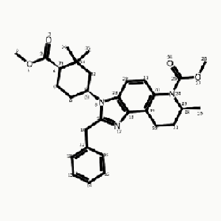 COC(=O)[C@@H]1CC[C@H](n2c(Cc3ccccc3)nc3c4c(ccc32)N(C(=O)OC)[C@@H](C)CC4)CC1(C)C